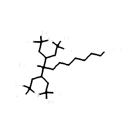 CC(C)(C)C1(C(C)(C)C)CC(C(CCCCCCCC(=O)O)(C(=O)O)C2CC(C(C)(C)C)(C(C)(C)C)NC(C(C)(C)C)(C(C)(C)C)C2)CC(C(C)(C)C)(C(C)(C)C)N1